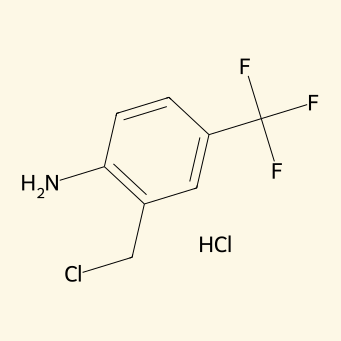 Cl.Nc1ccc(C(F)(F)F)cc1CCl